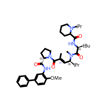 COc1ccc(-c2ccccc2)cc1NC(=O)[C@@H]1CCCN1C(=O)/C(C)=C/[C@H](C(C)C)N(C)C(=O)[C@@H](NC(=O)C1CCCCN1C(C)C)C(C)(C)C